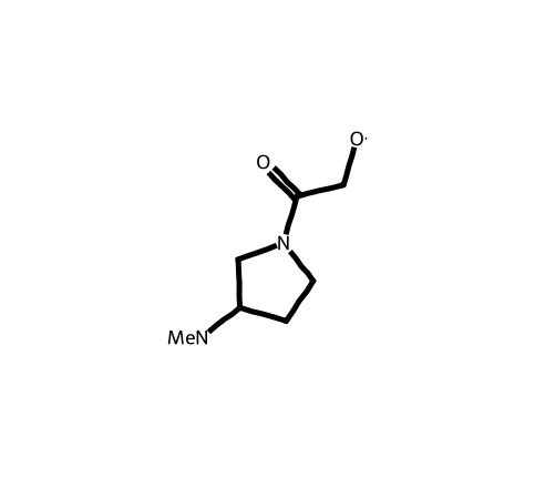 CNC1CCN(C(=O)C[O])C1